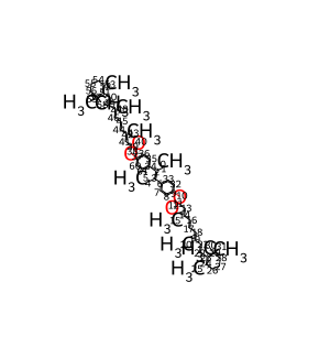 CC/C(=C(/CC)c1ccc(OC(=O)/C=C(C)/C=C/C=C(C)/C=C/C2=C(C)CCCC2(C)C)cc1)c1ccc(OC(=O)/C=C(C)/C=C/C=C(C)/C=C/C2=C(C)CCCC2(C)C)cc1